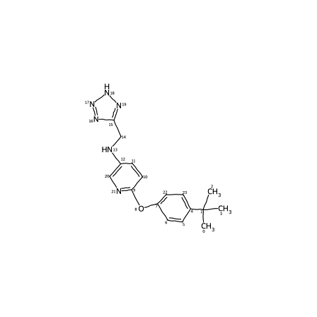 CC(C)(C)c1ccc(Oc2ccc(NCc3nn[nH]n3)cn2)cc1